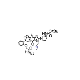 C/C=C/Cn1c(N2CCC[C@H](NC(=O)OC(C)(C)C)C2)nc2c1c(=O)n(CC(=O)c1ccccc1OCC(=O)NCC)c(=O)n2C